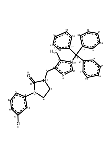 Cc1c(CN2CCN(c3cccc(Cl)c3)C2=O)ncn1C(c1ccccc1)(c1ccccc1)c1ccccc1